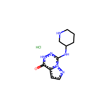 Cl.O=c1[nH]nc(NC2CCCNC2)n2nccc12